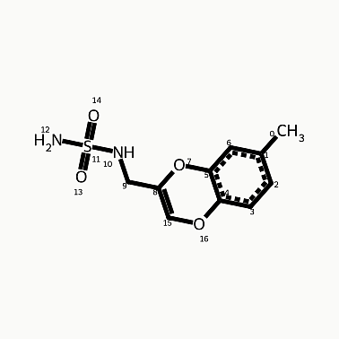 Cc1ccc2c(c1)OC(CNS(N)(=O)=O)=CO2